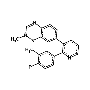 Cc1cc(-c2ncccc2-c2ccc3c(c2)SN(C)C=N3)ccc1F